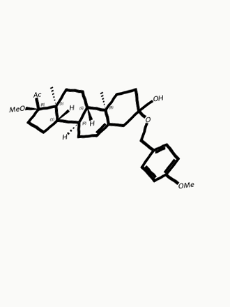 COc1ccc(COC2(O)CC[C@@]3(C)C(=CC[C@@H]4[C@@H]3CC[C@@]3(C)[C@H]4CC[C@]3(OC)C(C)=O)C2)cc1